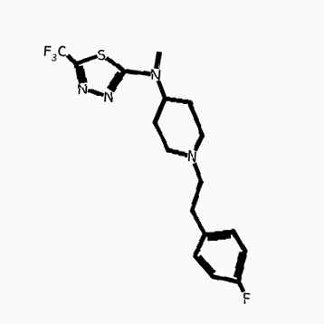 CN(c1nnc(C(F)(F)F)s1)C1CCN(CCc2ccc(F)cc2)CC1